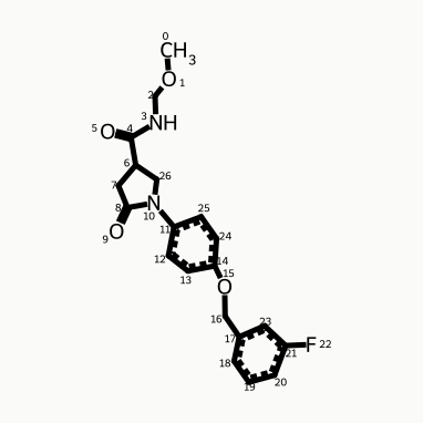 COCNC(=O)C1CC(=O)N(c2ccc(OCc3cccc(F)c3)cc2)C1